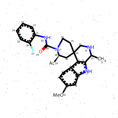 COc1ccc2c3c([nH]c2c1)C(C)NCC31CCN(C(=O)Nc2ccccc2F)[C@H](C(C)=O)C1